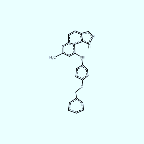 Cc1cc(Nc2ccc(OCc3ccccc3)cc2)c2c(ccc3cn[nH]c32)n1